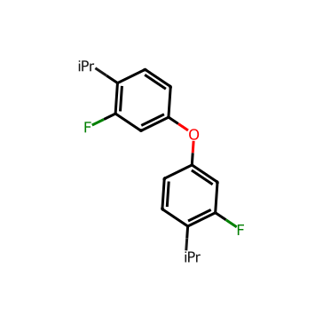 CC(C)c1ccc(Oc2ccc(C(C)C)c(F)c2)cc1F